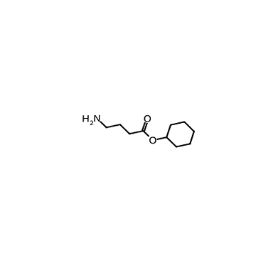 NCCCC(=O)OC1CCCCC1